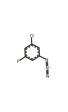 [N-]=[N+]=Nc1cc(F)cc(Cl)c1